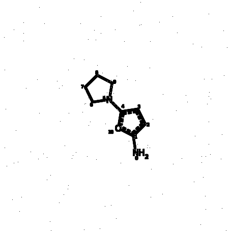 Nc1ccc(N2CCCC2)o1